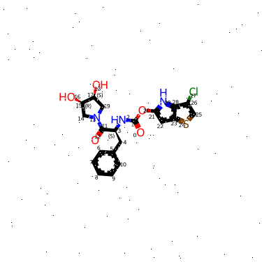 O=C(N[C@@H](Cc1ccccc1)C(=O)N1C[C@@H](O)[C@@H](O)C1)Oc1cc2scc(Cl)c2[nH]1